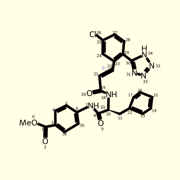 COC(=O)c1ccc(NC(=O)[C@H](Cc2ccccc2)NC(=O)/C=C/c2cc(Cl)ccc2-c2nnn[nH]2)cc1